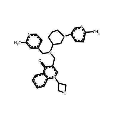 Cc1ccc(N2CCCC(N(Cc3ccnc(C)c3)Cc3cn(C4COC4)c4ccccc4c3=O)C2)cn1